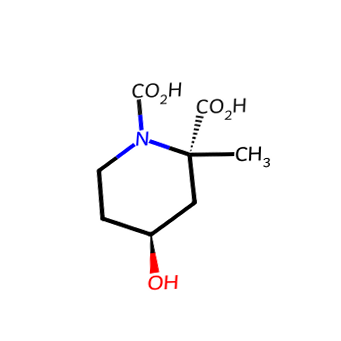 C[C@@]1(C(=O)O)C[C@@H](O)CCN1C(=O)O